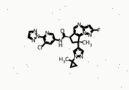 CC1(n2cc([C@]3(C)C[C@@H](C(=O)Nc4cnc(-n5nccn5)c(Cl)c4)c4cnc5cc(F)nn5c43)cn2)CC1